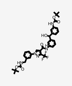 CC(C)(C)OC(=O)NCc1cccc(-n2cc(C(=O)Nc3cccc(C(O)c4cccc(NC(=O)OC(C)(C)C)c4)c3)c(C(F)(F)F)n2)c1